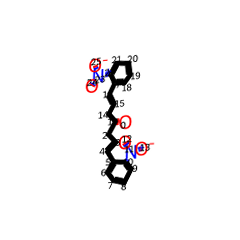 O=C(CC=Cc1ccccc1[N+](=O)[O-])CC=Cc1ccccc1[N+](=O)[O-]